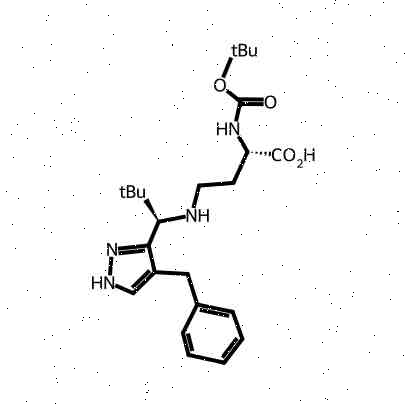 CC(C)(C)OC(=O)N[C@@H](CCN[C@@H](c1n[nH]cc1Cc1ccccc1)C(C)(C)C)C(=O)O